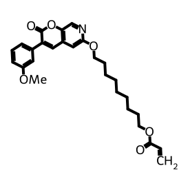 C=CC(=O)OCCCCCCCCCOc1cc2cc(-c3cccc(OC)c3)c(=O)oc2cn1